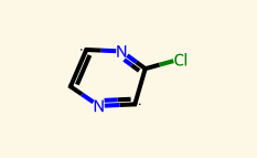 Clc1[c]nc[c]n1